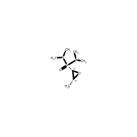 C[C@H]1O[C@H]1P(=O)(N(C)C)N(C)C